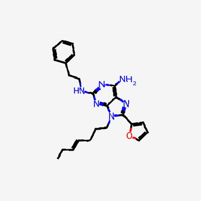 CCC=CCCCn1c(-c2ccco2)nc2c(N)nc(NCCc3ccccc3)nc21